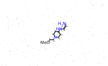 COCCN1CCC(N/C=C\N)CC1